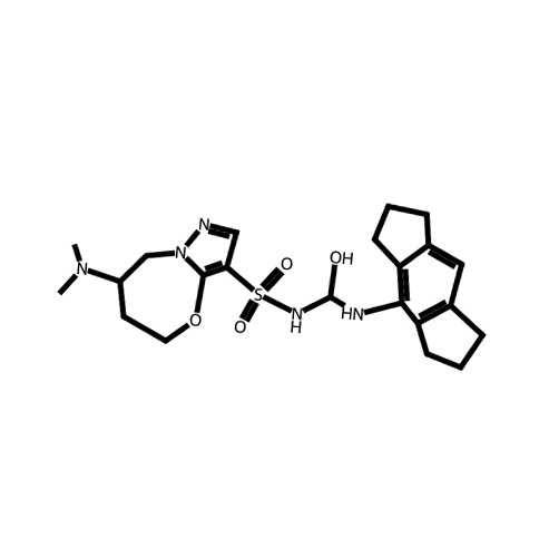 CN(C)C1CCOc2c(S(=O)(=O)NC(O)Nc3c4c(cc5c3CCC5)CCC4)cnn2C1